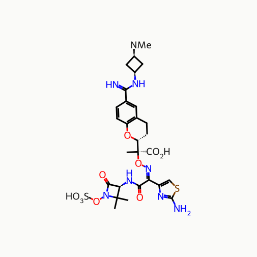 CN[C@H]1C[C@@H](NC(=N)c2ccc3c(c2)CC[C@H]([C@](C)(O/N=C(\C(=O)N[C@@H]2C(=O)N(OS(=O)(=O)O)C2(C)C)c2csc(N)n2)C(=O)O)O3)C1